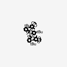 CC1=CC2OCCOC2C(C)=C1N1c2cc(C(C)(C)C)cc3c2B(c2sc4ccc(C(C)(C)C)cc4c21)c1sc2ccc(C(C)(C)C)cc2c1N3c1c(C)cc2c(c1C)OCCO2